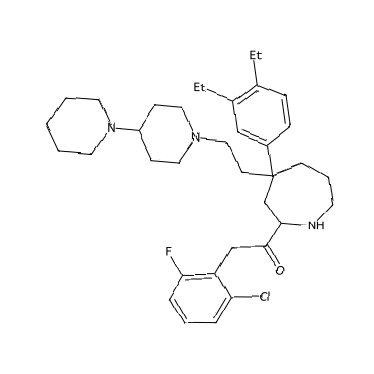 CCc1ccc(C2(CCN3CCC(N4CCCCC4)CC3)CCCNC(C(=O)Cc3c(F)cccc3Cl)C2)cc1CC